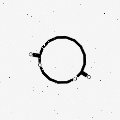 O=C1CCCCCCCCC(=O)OCCCCO1